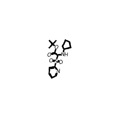 CC(C)(C)OC(=O)C(NC1CCCC1)S(=O)(=O)c1ccccn1